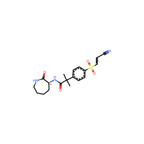 CC(C)(C(=O)N[C@H]1CCCCNC1=O)c1ccc(S(=O)(=O)/C=C/C#N)cc1